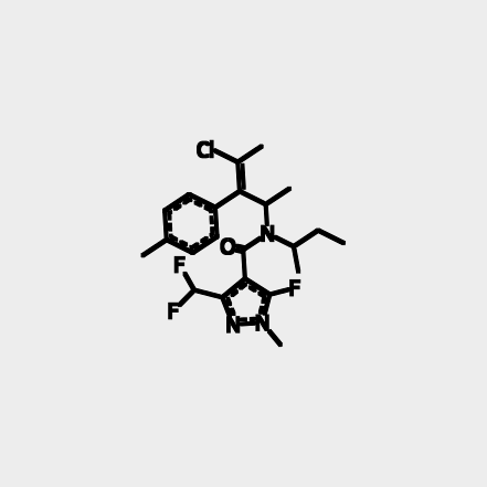 CCC(C)N(C(=O)c1c(C(F)F)nn(C)c1F)C(C)/C(=C(\C)Cl)c1ccc(C)cc1